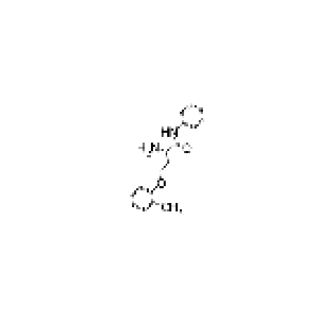 Cc1ccccc1OCCC(N)C(=O)Nc1ccccc1